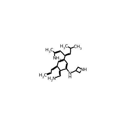 C=C/C=c1/cc(C(/C=C(/C)N)=C/C(C)C)cc(NC2CNC2)/c1=C/N